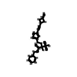 CC(CCc1cc(C#CC2CC(=O)C2)on1)(C(=O)OCc1ccccc1)S(C)(=O)=O